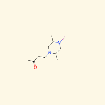 CC(=O)CCN1CC(C)N(I)CC1C